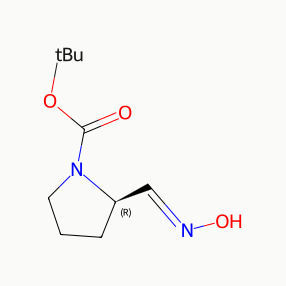 CC(C)(C)OC(=O)N1CCC[C@@H]1C=NO